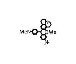 CNc1ccc(C(c2ccc(N(C)C)cc2)c2cc3c4c(c2OC)CCCN4CCC3)cc1